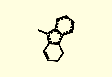 Cp1c2c(c3ccccc31)CCC=C2